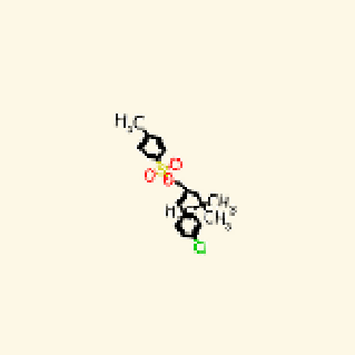 Cc1ccc(S(=O)(=O)OCC(=Cc2ccc(Cl)cc2)CC(C)(C)C)cc1